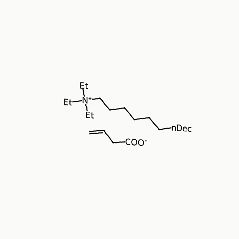 C=CCC(=O)[O-].CCCCCCCCCCCCCCCC[N+](CC)(CC)CC